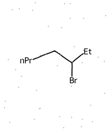 [CH2]CC(Br)CCCC